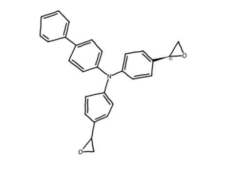 c1ccc(-c2ccc(N(c3ccc(C4CO4)cc3)c3ccc([C@H]4CO4)cc3)cc2)cc1